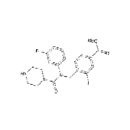 COC(=O)c1ccc(CN(C(=O)N2CCNCC2)c2cccc(F)c2)c(F)c1